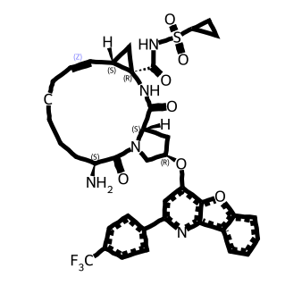 N[C@H]1CCCCC/C=C\[C@@H]2C[C@@]2(C(=O)NS(=O)(=O)C2CC2)NC(=O)[C@@H]2C[C@@H](Oc3cc(-c4ccc(C(F)(F)F)cc4)nc4c3oc3ccccc34)CN2C1=O